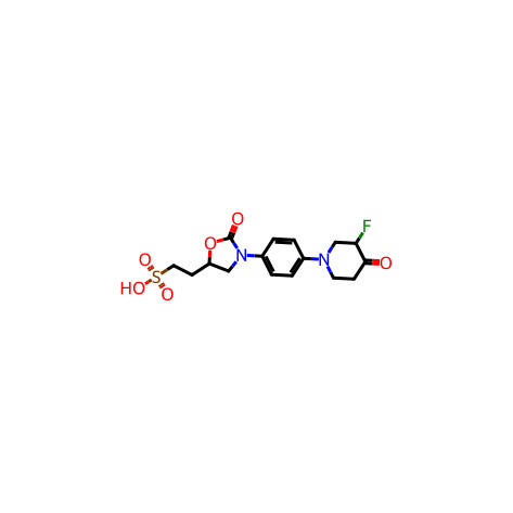 O=C1CCN(c2ccc(N3CC(CCS(=O)(=O)O)OC3=O)cc2)CC1F